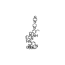 CCc1cc(Nc2nc(Nc3ccc4nccnc4c3N(C)S(C)(=O)=O)c3sccc3n2)c(OC)cc1N1CCC(N2CCN(C)CC2)CC1